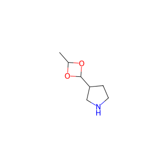 CC1OC(C2CCNC2)O1